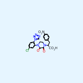 O=C(O)C(Cc1ccc([N+](=O)[O-])cc1)N1CCN(c2cc(Cl)ccc2-n2cnnn2)C(=O)C1=O